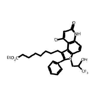 CCOC(=O)CCCCCCCc1c(-c2ccccc2)n(CC(O)C(F)(F)F)c2ccc3[nH]c(=O)cc(Cl)c3c12